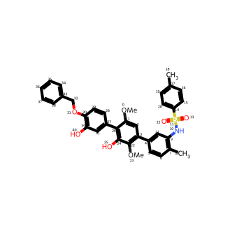 COc1cc(-c2ccc(C)c(NS(=O)(=O)c3ccc(C)cc3)c2)c(OC)c(O)c1-c1ccc(OCc2ccccc2)c(O)c1